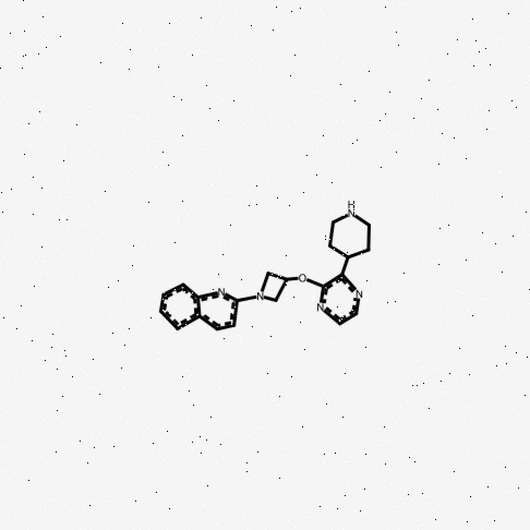 c1ccc2nc(N3CC(Oc4nccnc4C4CCNCC4)C3)ccc2c1